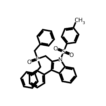 Cc1ccc(S(=O)(=O)n2c(CP(=O)(Cc3ccccc3)Cc3ccccc3)c(-c3ccccc3)c3ccccc32)cc1